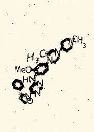 COc1cc(N2CCN(C3CCN(C)CC3)C[C@H]2C)ccc1Nc1cc(N2OCC[C@@H]2c2ccccc2)ncn1